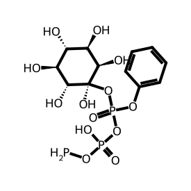 O=P(O)(OP)OP(=O)(Oc1ccccc1)O[C@]1(O)[C@H](O)[C@H](O)[C@@H](O)[C@H](O)[C@H]1O